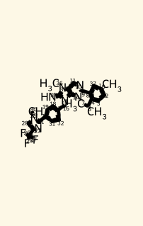 Cc1ccc(C(C)C)c(-c2ncc3c(n2)n(Cc2ccc(-c4nc(C(F)(F)F)cn4C)cc2)c(=N)n3C)c1